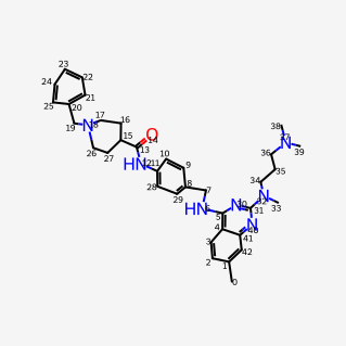 Cc1ccc2c(NCc3ccc(NC(=O)C4CCN(Cc5ccccc5)CC4)cc3)nc(N(C)CCCN(C)C)nc2c1